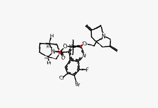 C=C1CN2CC(=C)CC2(COc2nc(N3C[C@H]4CC[C@@H](C3)N4C(=O)OC(C)(C)C)c3cc(Cl)c(Br)c(F)c3n2)C1